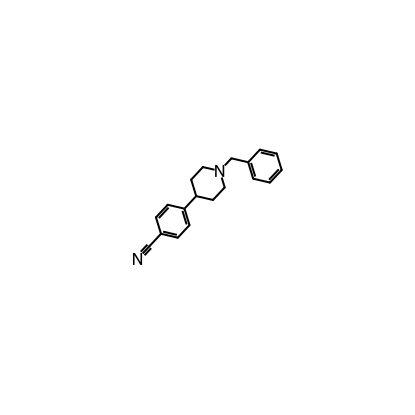 N#Cc1ccc(C2CCN(Cc3ccccc3)CC2)cc1